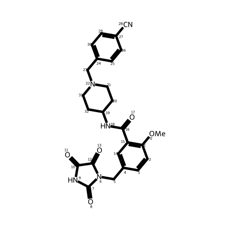 COc1ccc(CN2C(=O)NC(=O)C2=O)cc1C(=O)NC1CCN(Cc2ccc(C#N)cc2)CC1